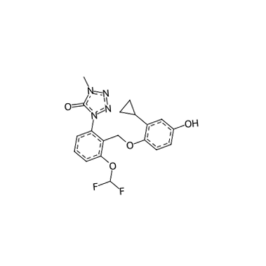 Cn1nnn(-c2cccc(OC(F)F)c2COc2ccc(O)cc2C2CC2)c1=O